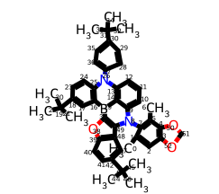 Cc1cc2c(c(C)c1N1c3cccc4c3B(c3cc(C(C)(C)C)ccc3N4c3ccc(C(C)(C)C)cc3)c3oc4ccc(C(C)(C)C)cc4c31)OCO2